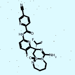 N#Cc1ccc(C(=O)Nc2ccc(F)c([C@]3(C(F)F)CS4(=O)=NCCCCN4C(N)=N3)n2)nc1